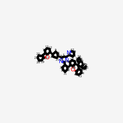 c1ccc(-c2cc(-c3ccc(-c4cccc5c4oc4ccccc45)cc3)nc(-c3ccccc3-c3cccc4c3Oc3ccccc3C43c4ccccc4-c4ccccc43)n2)nc1